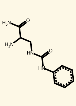 NC(=O)C(N)CNC(=O)Nc1ccccc1